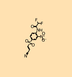 N#CC=CS(=O)(=O)c1ccc(NC(=O)C(F)F)c([N+](=O)[O-])c1